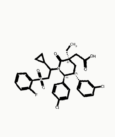 CC[C@]1(CC(=O)O)C[C@H](c2cccc(Cl)c2)[C@@H](c2ccc(Cl)cc2)N(C(CS(=O)(=O)c2ccccc2F)C2CC2)C1=O